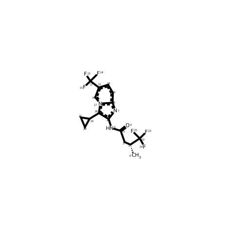 C[C@H](CC(=O)Nc1nc2ccc(C(F)(F)F)cn2c1C1CC1)C(F)(F)F